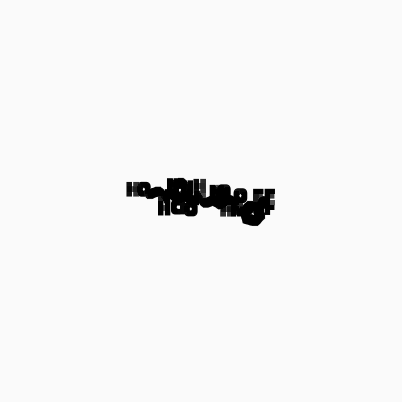 O=C(Nc1cccc(C(F)(F)F)c1)c1cc(CNC(=O)c2ncnc(NCCO)c2Cl)no1